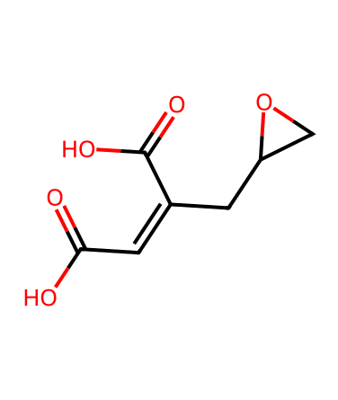 O=C(O)C=C(CC1CO1)C(=O)O